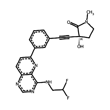 CN1CC[C@@](O)(C#Cc2cccc(-c3ccc4ncnc(NCC(F)F)c4n3)c2)C1=O